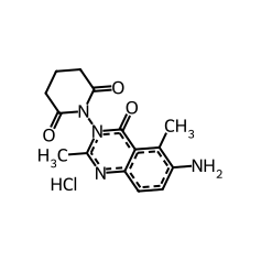 Cc1c(N)ccc2nc(C)n(N3C(=O)CCCC3=O)c(=O)c12.Cl